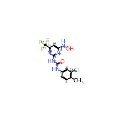 Cc1ccc(NC(=O)Nc2nc(NO)cc(C(F)(F)F)n2)cc1Cl